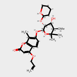 C=CCOc1cc(=O)oc2c(C)c(O[C@@H]3OC(C)(C)[C@H](OC)[C@@H](O)[C@H]3OC3CCCCO3)ccc12